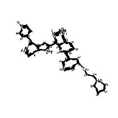 c1cc(-c2nccc3[nH]c(-c4n[nH]c5ccc(-c6cncc(OCCN7CCCC7)c6)nc45)cc23)ccn1